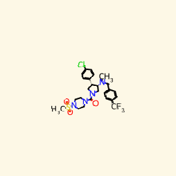 CN(Cc1ccc(C(F)(F)F)cc1)[C@@H]1CN(C(=O)N2CCN(S(C)(=O)=O)CC2)C[C@@H]1c1ccc(Cl)cc1